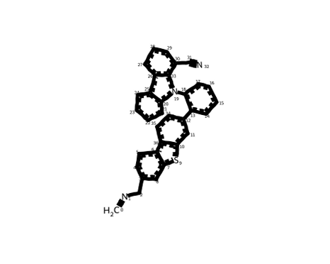 C=NCc1ccc2c(c1)sc1cc(-c3ccccc3-n3c4ccccc4c4cccc(C#N)c43)ccc12